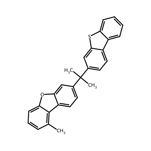 Cc1cccc2oc3cc(C(C)(C)c4ccc5c(c4)sc4ccccc45)ccc3c12